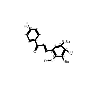 CCOc1c(C=CC(=O)c2ccc(O)cc2)cc(C(C)(C)C)c(O)c1C(C)(C)C